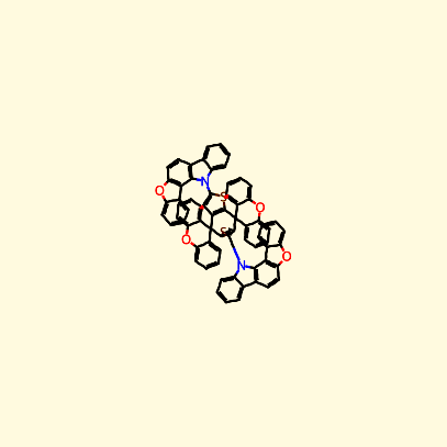 c1ccc2c(c1)Oc1ccccc1C21c2cc(-n3c4ccccc4c4ccc5oc6ccccc6c5c43)sc2C2(c3ccccc3Oc3ccccc32)c2cc(-n3c4ccccc4c4ccc5oc6ccccc6c5c43)sc21